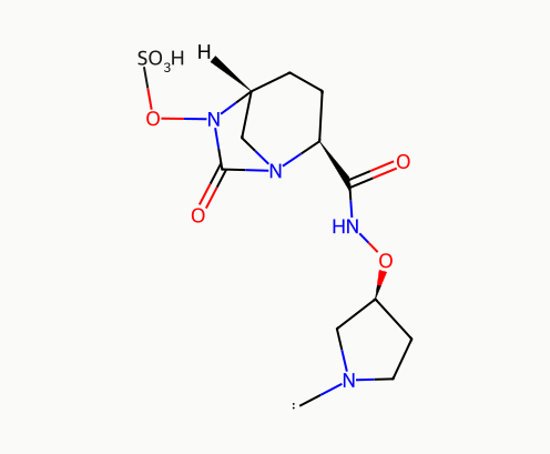 [CH]N1CC[C@H](ONC(=O)[C@@H]2CC[C@@H]3CN2C(=O)N3OS(=O)(=O)O)C1